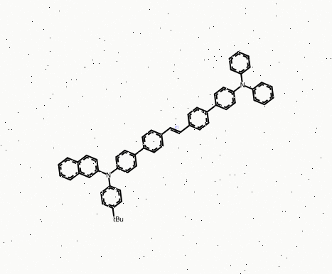 CC(C)(C)c1ccc(N(c2ccc(-c3ccc(/C=C/c4ccc(-c5ccc(N(c6ccccc6)c6ccccc6)cc5)cc4)cc3)cc2)c2ccc3ccccc3c2)cc1